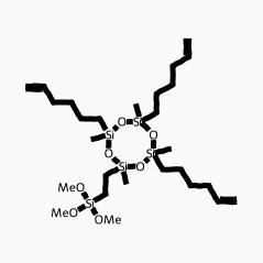 C=CCCCC[Si]1(C)O[Si](C)(CCCCC=C)O[Si](C)(CC[Si](OC)(OC)OC)O[Si](C)(CCCCC=C)O1